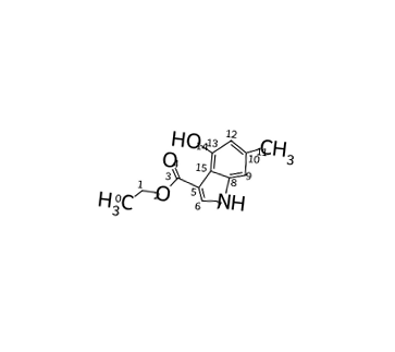 CCOC(=O)c1c[nH]c2cc(C)cc(O)c12